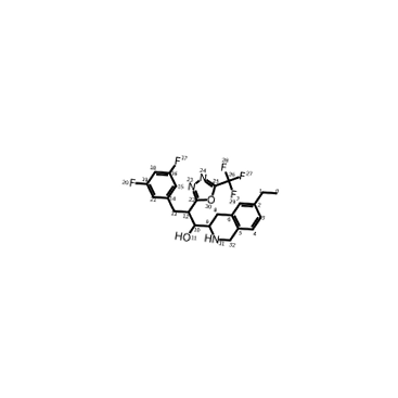 CCc1ccc2c(c1)CC(C(O)C(Cc1cc(F)cc(F)c1)c1nnc(C(F)(F)F)o1)NC2